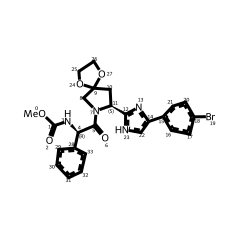 COC(=O)N[C@@H](C(=O)N1CC2(C[C@H]1c1nc(-c3ccc(Br)cc3)c[nH]1)OCCO2)c1ccccc1